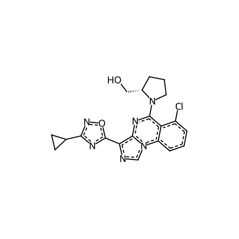 OC[C@@H]1CCCN1c1nc2c(-c3nc(C4CC4)no3)ncn2c2cccc(Cl)c12